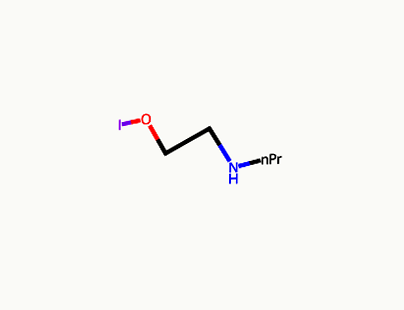 CCCNCCOI